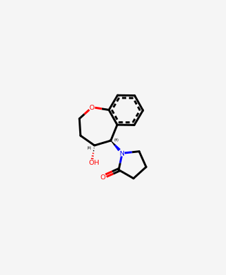 O=C1CCCN1[C@@H]1c2ccccc2OCC[C@H]1O